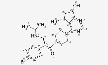 CC(C)NC[C@@H](C(=O)N1CCN(c2ncnc3c2[C@H](C)C[C@@H]3O)CC1)c1ccc(Br)cc1